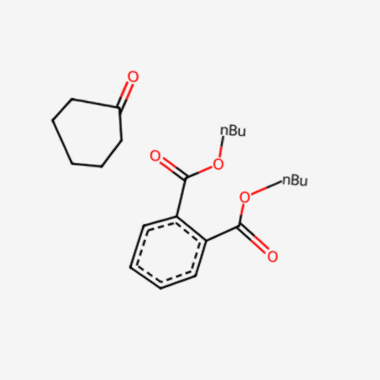 CCCCOC(=O)c1ccccc1C(=O)OCCCC.O=C1CCCCC1